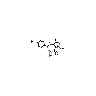 CCn1nc(C)c2c1C(=O)NCC(c1ccc(Br)cc1)=N2